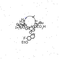 CCOc1cc2ccnc(O[C@]3(C)C[C@H]4C(=O)N[C@]5(C(=O)NS(=O)(=O)C6(C)CC6)C[C@H]5/C=C\CC[C@@H](C)C[C@@H](C)[C@H](N(C(=O)O)C(C)CC)C(=O)N4C3(F)F)c2cc1F